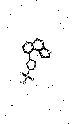 O=S(=O)(O)C1CCN(c2ncnc3cnc4[nH]ccc4c23)C1